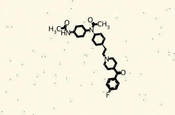 CC(=O)NC1CCC(N(C(C)=O)[C@H]2CC[C@H](CCN3CCC(C(=O)c4ccc(F)cc4)CC3)CC2)CC1